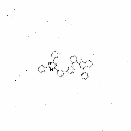 c1ccc(-c2nc(-c3ccccc3)nc(-c3cccc(-c4cccc(-c5cccc6c5-c5cc(-c7ccccc7)c7ccccc7c5C6)c4)c3)n2)cc1